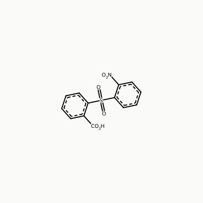 O=C(O)c1ccccc1S(=O)(=O)c1ccccc1[N+](=O)[O-]